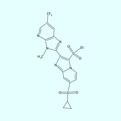 CCS(=O)(=O)c1c(-c2nc3cc(C(F)(F)F)cnc3n2C)nc2cc(S(=O)(=O)C3CC3)ccn12